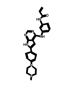 C=CC(=O)Nc1cccc(Nc2ncnc3[nH]c(-c4ccc(N5CCN(C)CC5)cc4)cc23)c1